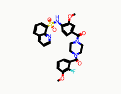 COc1cc(C(=O)N2CCN(C(=O)c3cccc(OC)c3F)CC2)ccc1NS(=O)(=O)c1cccc2cccnc12